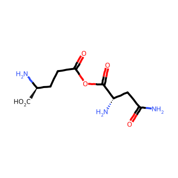 NC(=O)C[C@H](N)C(=O)OC(=O)CC[C@H](N)C(=O)O